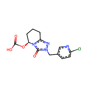 O=C(O)O[C@H]1CCCc2nn(Cc3ccc(Cl)nc3)c(=O)n21